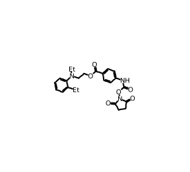 CCc1ccccc1N(CC)CCOC(=O)c1ccc(NC(=O)ON2C(=O)CCC2=O)cc1